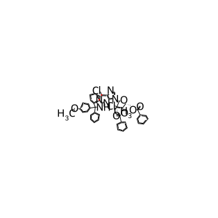 COc1ccc(C(Nc2nc(Cl)c3ncn([C@@H]4O[C@H](COC(=O)c5ccccc5)[C@@H](OC(=O)c5ccccc5)[C@@]4(C)Cl)c3n2)(c2ccccc2)c2ccccc2)cc1